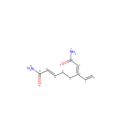 C=CC(=CC(N)=O)CCC=CC(N)=O